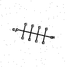 OC(Cl)(Cl)C(Cl)(Cl)C(Cl)(Cl)C(Cl)(Cl)C(Cl)(Cl)Cl